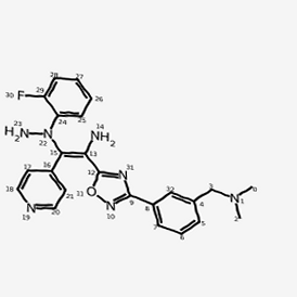 CN(C)Cc1cccc(-c2noc(/C(N)=C(\c3ccncc3)N(N)c3ccccc3F)n2)c1